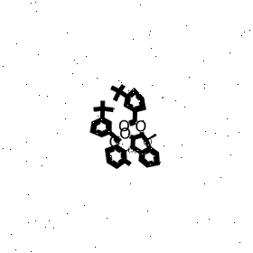 Cc1ccccc1[C@H]1c2ccccc2[C@H](C)C(OC(=O)c2cccc(C(C)(C)C)c2)C1OC(=O)c1cccc(C(C)(C)C)c1